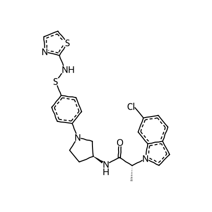 C[C@H](C(=O)N[C@H]1CCN(c2ccc(SNc3nccs3)cc2)C1)n1ccc2ccc(Cl)cc21